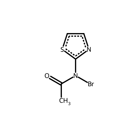 CC(=O)N(Br)c1nccs1